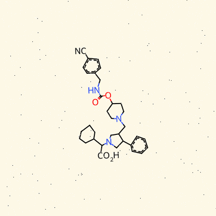 N#Cc1ccc(CNC(=O)OC2CCN(CC3CN(C(C(=O)O)C4CCCCC4)CC3c3ccccc3)CC2)cc1